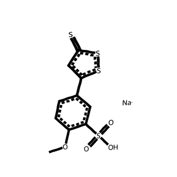 COc1ccc(-c2cc(=S)ss2)cc1S(=O)(=O)O.[Na]